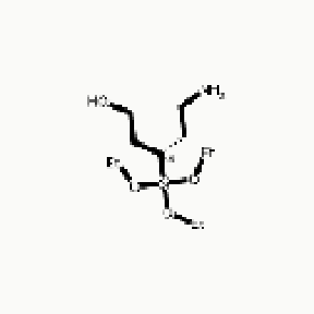 CCO[Si](OCC)(OCC)[C@@H](CCN)CCO